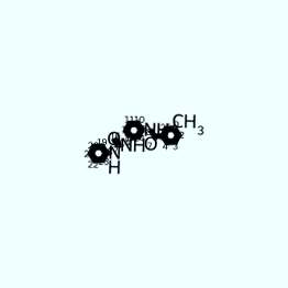 Cc1cccc(C(=O)Nc2cccc(NC(=O)Nc3ccccc3)c2)c1